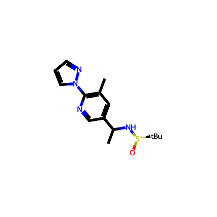 Cc1cc(C(C)N[S@+]([O-])C(C)(C)C)cnc1-n1cccn1